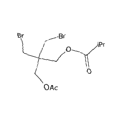 CC(=O)OCC(CBr)(CBr)COC(=O)C(C)C